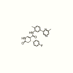 Cc1cncc(-c2ccc(C)c(NC(=O)C3=CNC(=O)C[C@H]3c3ccc(F)cc3)c2)n1